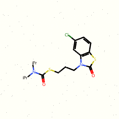 CC(C)N(C(=O)SCCCn1c(=O)sc2ccc(Cl)cc21)C(C)C